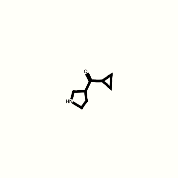 O=C(C1CC1)C1CCNC1